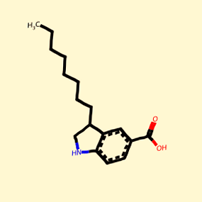 CCCCCCCCC1CNc2ccc(C(=O)O)cc21